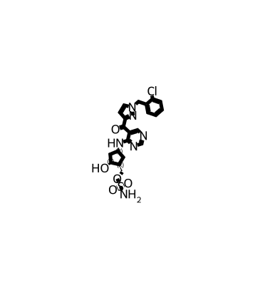 NS(=O)(=O)OC[C@H]1C[C@@H](Nc2ncncc2C(=O)c2ccn(Cc3ccccc3Cl)n2)C[C@@H]1O